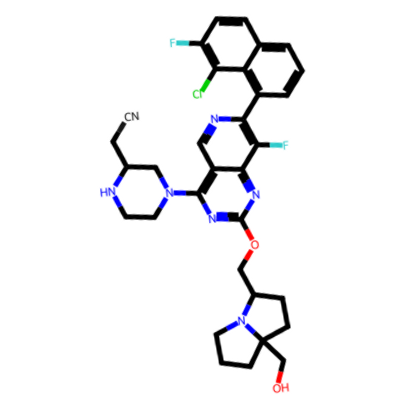 N#CCC1CN(c2nc(OCC3CCC4(CO)CCCN34)nc3c(F)c(-c4cccc5ccc(F)c(Cl)c45)ncc23)CCN1